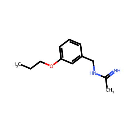 CCCOc1cccc(CNC(C)=N)c1